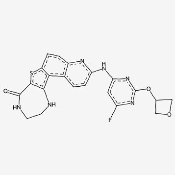 O=C1NCCNc2c1sc1ccc3nc(Nc4cc(F)nc(OC5COC5)n4)ccc3c21